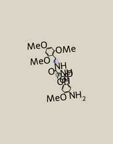 COc1cc(OC)c(/C=C/NC(=O)[C@H](CO)NS(=O)(=O)Cc2ccc(OC)c(N)c2)c(OC)c1